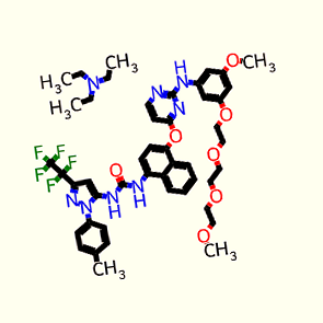 CCN(CC)CC.COCCOCCOCCOc1cc(Nc2nccc(Oc3ccc(NC(=O)Nc4cc(C(F)(F)C(F)(F)F)nn4-c4ccc(C)cc4)c4ccccc34)n2)cc(OC)c1